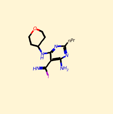 CCCc1nc(N)c(C(=N)I)c(NC2CCOCC2)n1